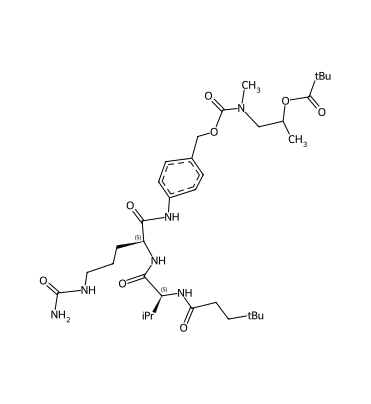 CC(CN(C)C(=O)OCc1ccc(NC(=O)[C@H](CCCNC(N)=O)NC(=O)[C@@H](NC(=O)CCC(C)(C)C)C(C)C)cc1)OC(=O)C(C)(C)C